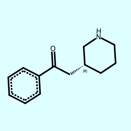 O=C(C[C@H]1CCCNC1)c1ccccc1